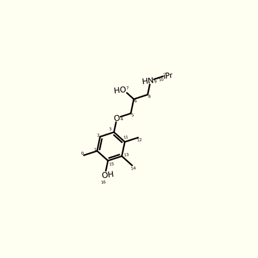 Cc1cc(OCC(O)CNC(C)C)c(C)c(C)c1O